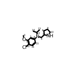 COc1cc(N(CC2CCCN2)C(C)C)ccc1Cl